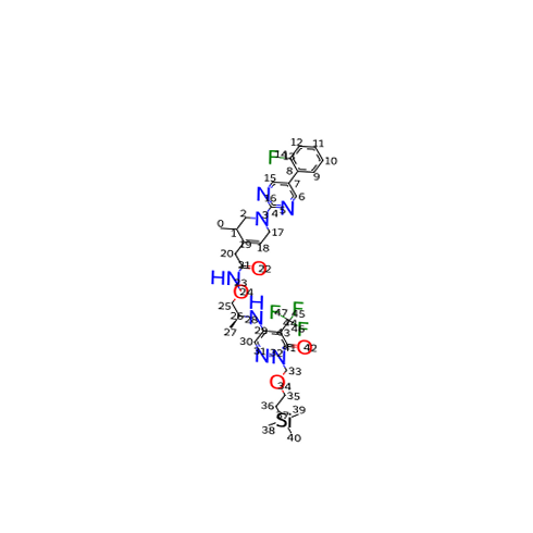 CC1CN(c2ncc(-c3ccccc3F)cn2)CC=C1CC(=O)NOC[C@H](C)Nc1cnn(COCC[Si](C)(C)C)c(=O)c1C(F)(F)F